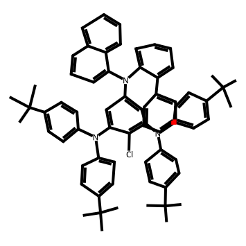 CC(C)(C)c1ccc(N(c2ccc(C(C)(C)C)cc2)c2cc(N(c3ccccc3-c3ccccc3)c3cccc4ccccc34)cc(N(c3ccc(C(C)(C)C)cc3)c3ccc(C(C)(C)C)cc3)c2Cl)cc1